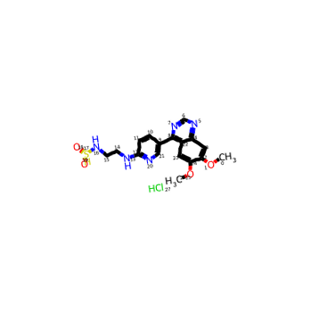 COc1cc2ncnc(-c3ccc(NCCN[SH](=O)=O)nc3)c2cc1OC.Cl